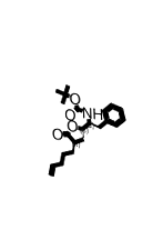 C=CCCC[C@@H]1C[C@@H]([C@H](Cc2ccccc2)NC(=O)OC(C)(C)C)OC1=O